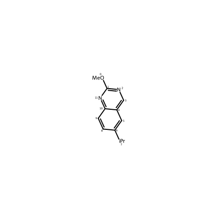 COc1ncc2cc(C(C)C)ccc2n1